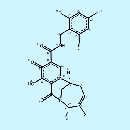 CC1=CC[C@H]2CN(C(=O)c3c(O)c(=O)c(C(=O)NCc4c(F)cc(F)cc4F)cn32)[C@H]1C